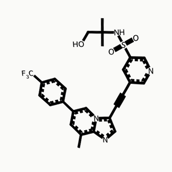 Cc1cc(-c2ccc(C(F)(F)F)cc2)cn2c(C#Cc3cncc(S(=O)(=O)NC(C)(C)CO)c3)cnc12